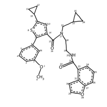 COc1cccc(-c2sc(C3CC3)nc2C(=O)N(CCNC(=O)c2cccc3occc23)CC2CC2)c1